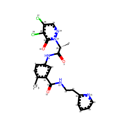 C[C@H](C(=O)Nc1ccc(C(F)(F)F)c(C(=O)NCCc2ccccn2)c1)n1ncc(Cl)c(Cl)c1=O